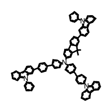 CC1(C)c2cc(-c3ccc4c5ccccc5n(-c5ccccc5)c4c3)ccc2-c2ccc(N(c3ccc(-c4ccc(-c5ccc6c7ccccc7n(-c7ccccc7)c6c5)cc4)cc3)c3ccc(-c4ccc(-n5c6ccccc6c6ccccc65)cc4)cc3)cc21